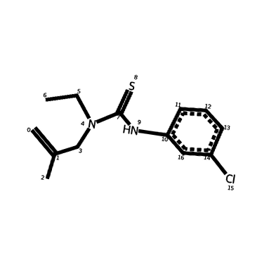 C=C(C)CN(CC)C(=S)Nc1cccc(Cl)c1